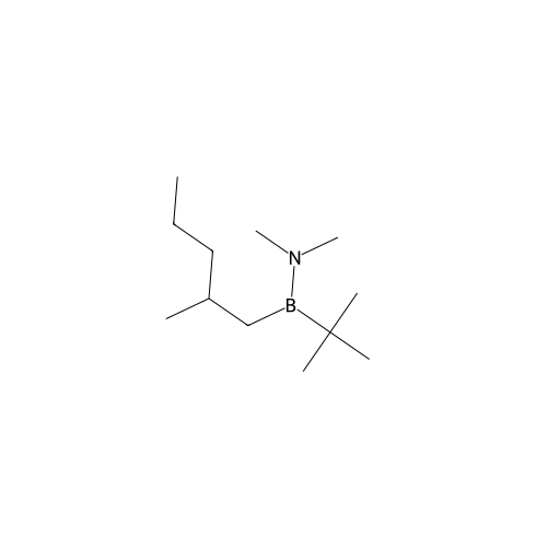 CCCC(C)CB(N(C)C)C(C)(C)C